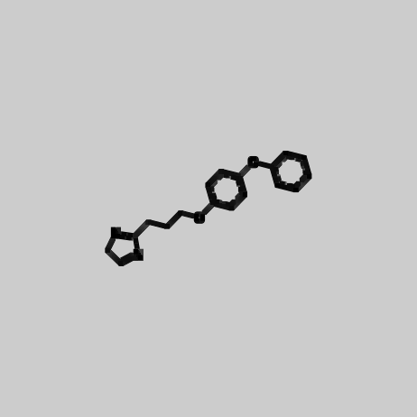 C1=NC(CCCOc2ccc(Oc3ccccc3)cc2)=NC1